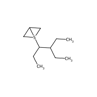 CCC(CC)C(CC)S12CC1C2